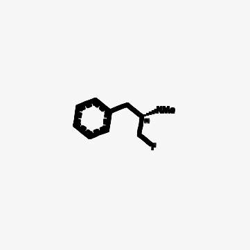 CN[C@H](CF)Cc1ccccc1